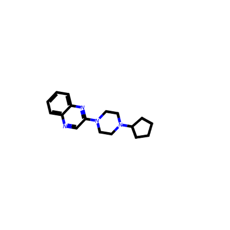 c1ccc2nc(N3CCN(C4CCCC4)CC3)cnc2c1